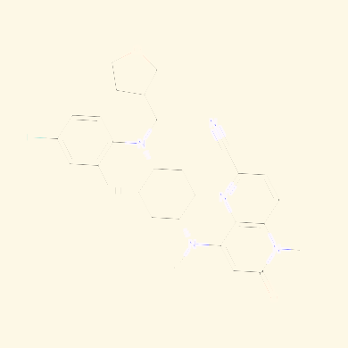 Cc1cc(F)ccc1N(CC1CCOC1)[C@H]1CC[C@@H](N(C)c2cc(=O)n(C)c3ccc(C#N)nc23)CC1